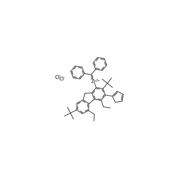 CCc1cc(C(C)(C)C)cc2c1-c1c([c]([Zr+2]=[C](c3ccccc3)c3ccccc3)c(C(C)(C)C)c(C3=CC=CC3)c1CC)C2.[Cl-].[Cl-]